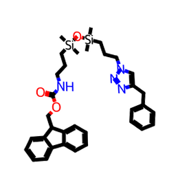 C[Si](C)(CCCNC(=O)OCC1c2ccccc2-c2ccccc21)O[Si](C)(C)CCCn1cc(Cc2ccccc2)nn1